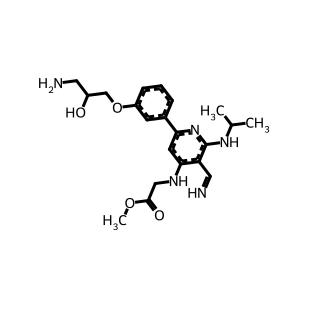 COC(=O)CNc1cc(-c2cccc(OCC(O)CN)c2)nc(NC(C)C)c1C=N